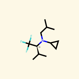 CC(C)CN(C1CC1)[C@@H](C(C)C)C(F)(F)F